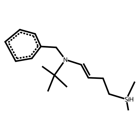 C[SiH](C)CCC=CN(Cc1ccccc1)C(C)(C)C